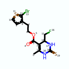 CC1=C(C(=O)OCCc2ccsc2Br)C(CF)NC(=S)N1